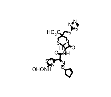 O=CNc1nc(C(=NOC2C=CCC2)C(=O)NC2C(=O)N3CC(CSc4nncs4)(C(=O)O)CS[C@H]23)cs1